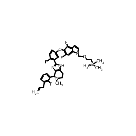 C=CCc1cccc(C2c3nc(-c4cc(Oc5c(F)cc6c(ccn6COCC[Si](C)(C)C)c5F)ccc4F)[nH]c3CCN2C)c1F